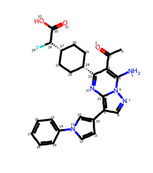 CC(=O)c1c(N)n2ncc(-c3ccn(-c4ccccc4)c3)c2nc1[C@H]1CC[C@@H](C(F)C(=O)O)CC1